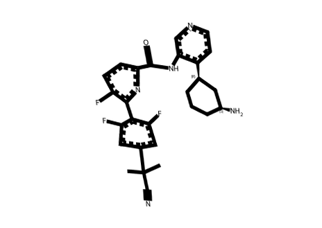 CC(C)(C#N)c1cc(F)c(-c2nc(C(=O)Nc3cnccc3[C@@H]3CCC[C@H](N)C3)ccc2F)c(F)c1